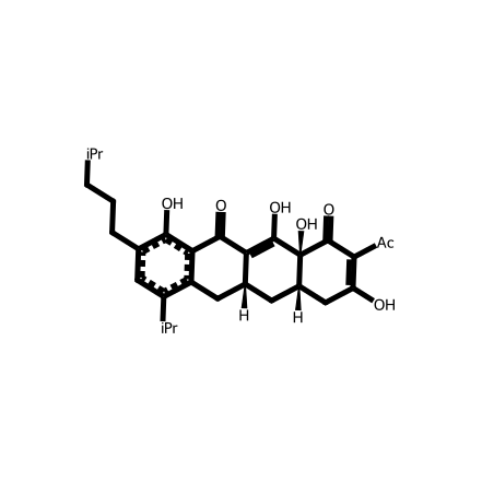 CC(=O)C1=C(O)C[C@@H]2C[C@@H]3Cc4c(C(C)C)cc(CCCC(C)C)c(O)c4C(=O)C3=C(O)[C@]2(O)C1=O